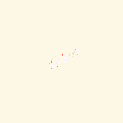 CN1CC2(CC(NC(=O)[C@@H]3CC[C@@H]4CN3C(=O)N4OSO)C2)C1